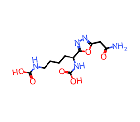 NC(=O)Cc1nnc([C@H](CCCCNC(=O)O)NC(=O)O)o1